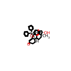 C[C@]12CC[C@H]3[C@@H](CCC4=CC(=O)CC[C@@]43CO[Si](c3ccccc3)(c3ccccc3)c3ccccc3)[C@@H]1CC[C@@H]2O